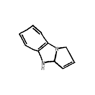 [c]1cccc2c1NC1C=CCN21